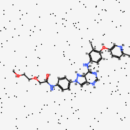 COCCOCC(=O)Nc1ccc(-n2cc3ncnc(Nc4ccc(Oc5ccc(C)nc5)c(C)c4)c3n2)cc1